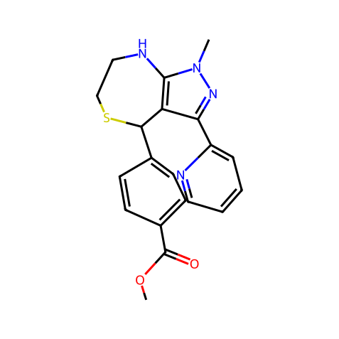 COC(=O)c1ccc(C2SCCNc3c2c(-c2ccccn2)nn3C)cc1